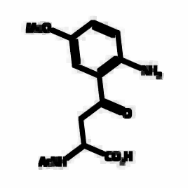 COc1ccc(N)c(C(=O)CC(NC(C)=O)C(=O)O)c1